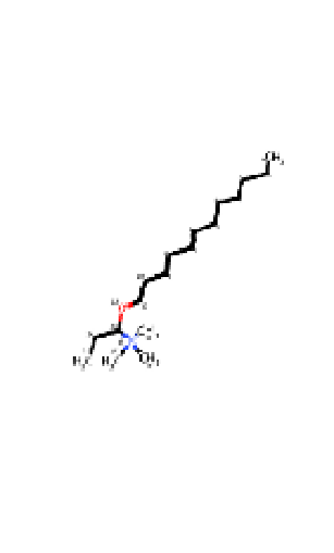 CCCCCCCCCCCCOC(CC)[N+](C)(C)C